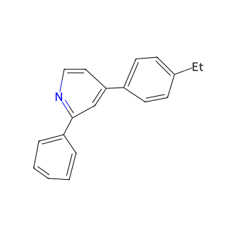 CCc1ccc(-c2ccnc(-c3ccccc3)c2)cc1